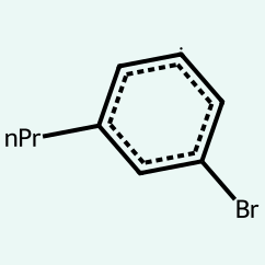 CCCc1c[c]cc(Br)c1